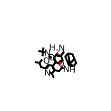 Cc1nc(CC(C)C)c(OC(=O)N(C)C(C)(C)C)c(-c2ccc(CN)cc2)c1CC(=O)NC1C2CC3CC(C2)CC1C3